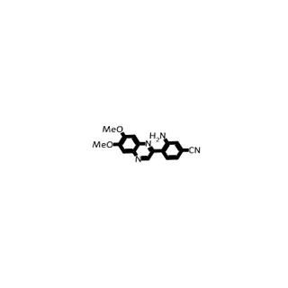 COc1cc2ncc(-c3ccc(C#N)cc3N)nc2cc1OC